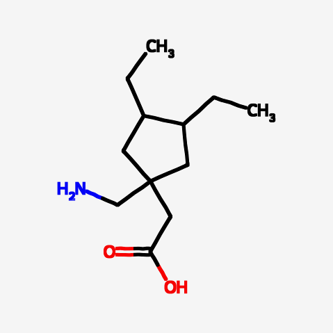 CCC1CC(CN)(CC(=O)O)CC1CC